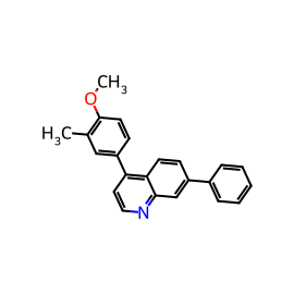 COc1ccc(-c2ccnc3cc(-c4ccccc4)ccc23)cc1C